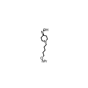 CCCOCCCCCN1CCC(=NO)CC1